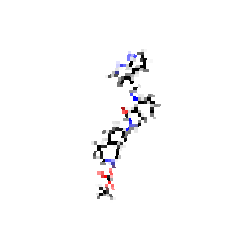 CC(C)(C)OC(=O)ON1Cc2cc(N3Cc4cccc(N=Cc5ccnc6ncccc56)c4C3=O)ccc2C(C)(C)C1